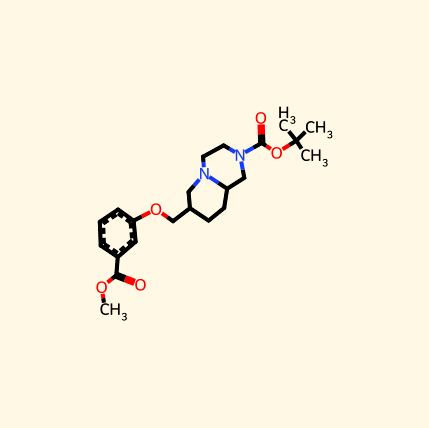 COC(=O)c1cccc(OCC2CCC3CN(C(=O)OC(C)(C)C)CCN3C2)c1